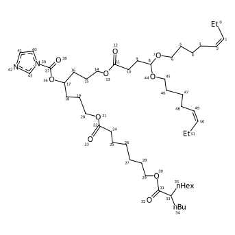 CC/C=C\CCCCOC(CCC(=O)OCCCC(CCCOC(=O)CCCCCCOC(=O)C(CCCC)CCCCCC)OC(=O)n1ccnc1)OCCCC/C=C\CC